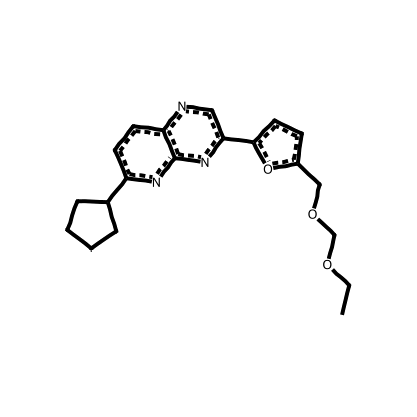 CCOCOCc1ccc(-c2cnc3ccc(C4C[CH]CC4)nc3n2)o1